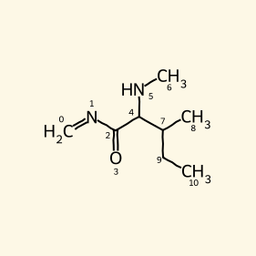 C=NC(=O)C(NC)C(C)CC